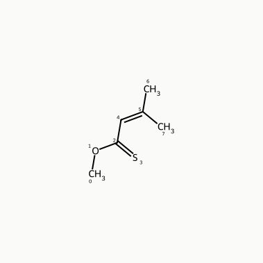 COC(=S)C=C(C)C